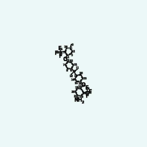 Cc1ccc(Oc2ccc(C(C)(C)c3ccc(Oc4ccc(N)cc4C(F)(F)F)cc3)cc2)c(C(F)(F)F)c1